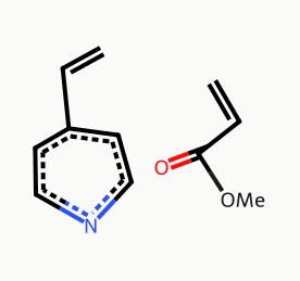 C=CC(=O)OC.C=Cc1ccncc1